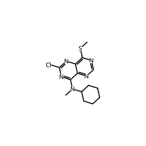 CSc1ncnc2c(N(C)C3CCCCC3)nc(Cl)nc12